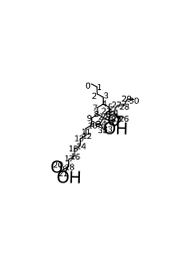 CCCCC(CC)CC(CCCCCCCCCCC(=O)O)C(CC(CC)CCCC)(C(=O)O)C(C)C